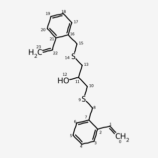 C=Cc1ccccc1CSCC(O)CSCc1ccccc1C=C